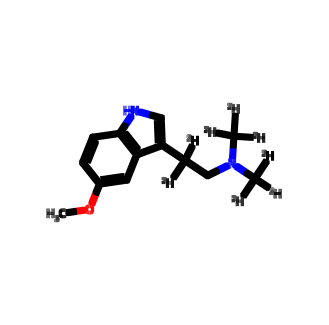 [2H]C([2H])(CN(C([2H])([2H])[2H])C([2H])([2H])[2H])c1c[nH]c2ccc(OC)cc12